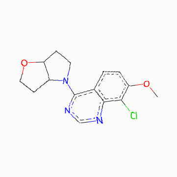 COc1ccc2c(N3CCC4OCCC43)ncnc2c1Cl